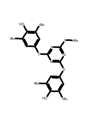 CCCCSc1nc(Oc2cc(C(C)(C)C)c(O)c(C(C)(C)C)c2)nc(Oc2cc(C(C)(C)C)c(O)c(C(C)(C)C)c2)n1